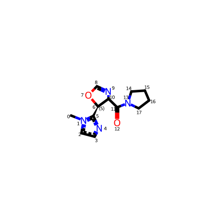 Cn1ccnc1[C@H]1OC=NC1C(=O)N1CCCC1